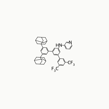 FC(F)(F)c1cc(-c2cc(Nc3cccnc3)cc(-c3cc(C45CC6CC(CC(C6)C4)C5)cc(C45CC6CC(CC(C6)C4)C5)c3)c2)cc(C(F)(F)F)c1